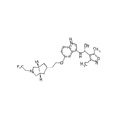 Cc1noc(C)c1C(O)Nc1c[nH]c2ccc(OCC[C@@H]3C[C@@H]4CN(CC(F)(F)F)C[C@@H]4C3)cc12